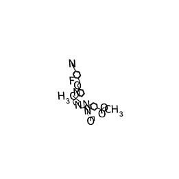 COC(=O)c1ccc2nc(CN3CCC(C)(c4cccc(OCc5ccc(C#N)cc5F)n4)C3)n(C[C@@H]3CCO3)c2c1